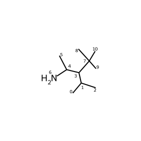 CC(C)C(C(C)N)C(C)(C)C